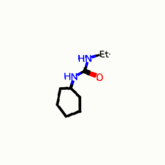 C[CH]NC(=O)NC1CCCCC1